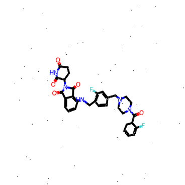 O=C1CCC(N2C(=O)c3cccc(NCc4ccc(CN5CCN(C(=O)C6CC=CC=C6F)CC5)cc4F)c3C2=O)C(=O)N1